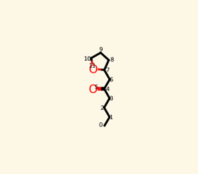 CCCCC(=O)CC1CCCO1